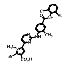 CCc1cccc(CC)c1NC(=O)c1ccc(Nc2nccc(-c3cc(C(=O)O)c(Br)n3C)n2)c(C)c1